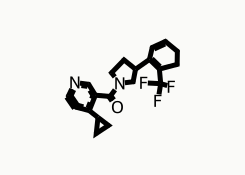 O=C(c1cnc#cc1C1CC1)N1CCC(C2=C(C(F)(F)F)CCC=C2)C1